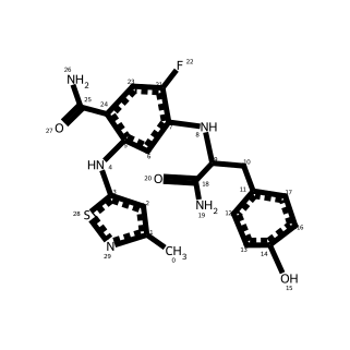 Cc1cc(Nc2cc(NC(Cc3ccc(O)cc3)C(N)=O)c(F)cc2C(N)=O)sn1